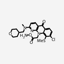 CSc1c(Cl)ccc2c(=O)c3ccc(N(C)CC4CCOCC4)nc3n(CC(=O)ON)c12